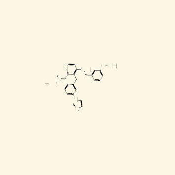 COc1cccc(CNc2ccnc(CN(C)C)c2Cc2cccc(-n3ccnc3)c2)c1